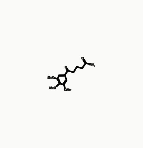 COc1cc(C(=O)CCCC(N)=O)cc(OC)c1OC